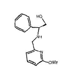 COc1cccc(CN[C@H](CO)c2ccccc2)n1